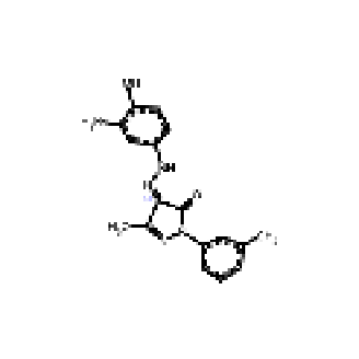 CC1=NN(c2cccc(C)c2)C(=O)/C1=N\Nc1ccc(O)c(N)c1